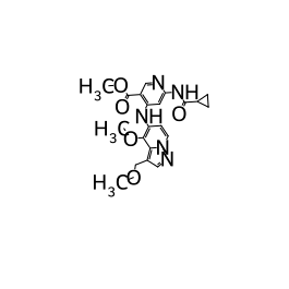 COCc1cnn2ccc(Nc3cc(NC(=O)C4CC4)ncc3C(=O)OC)c(OC)c12